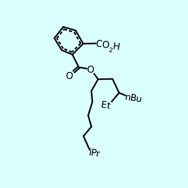 CCCCC(CC)CC(CCCCCC(C)C)OC(=O)c1ccccc1C(=O)O